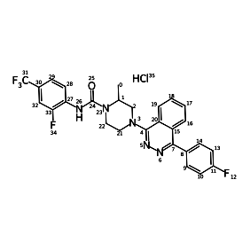 CC1CN(c2nnc(-c3ccc(F)cc3)c3ccccc23)CCN1C(=O)Nc1ccc(C(F)(F)F)cc1F.Cl